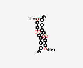 CCCCCCOc1ccc(-c2ccc(C(=O)Oc3ccc4cc(-c5ccc([C@H]6CC[C@H](CCC)CC6)cc5)ccc4c3-c3c(OC(=O)c4ccc(-c5ccc(OCCCCCC)cc5)cc4)ccc4cc(-c5ccc([C@H]6CC[C@H](CCC)CC6)cc5)ccc34)cc2)cc1